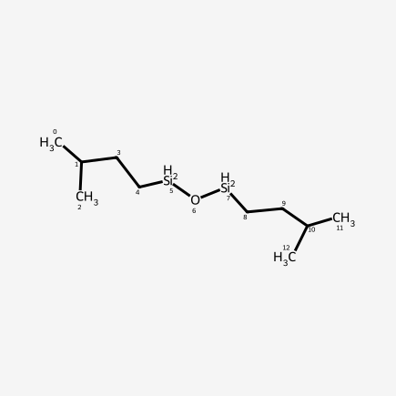 CC(C)CC[SiH2]O[SiH2]CCC(C)C